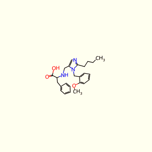 CCCCc1ncc(CNC(Cc2ccccc2)C(=O)O)n1Cc1ccccc1OC